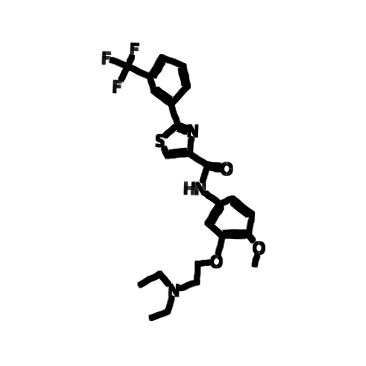 CCN(CC)CCOc1cc(NC(=O)c2csc(-c3cccc(C(F)(F)F)c3)n2)ccc1OC